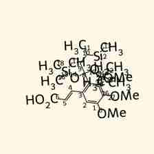 COc1cc(C=CC(=O)O)c(C(CC(C)[SiH2]C)(O[Si](C)(C)C)O[Si](C)(C)C)c(OC)c1OC